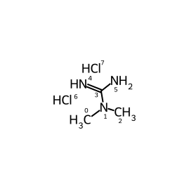 CN(C)C(=N)N.Cl.Cl